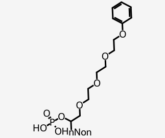 CCCCCCCCCC(COCCOCCOCCOc1ccccc1)OP(=O)(O)O